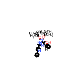 C[Si](C)(C)CCOCN(COCC[Si](C)(C)C)c1c(CO)c([C@H]2C[C@@H]3CC[C@@H](C3)C2)nc2c(-c3ccc(-c4ccccc4)nc3)cnn12